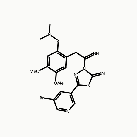 COc1cc(CC(=N)n2nc(-c3cncc(Br)c3)sc2=N)c(SN(C)C)cc1OC